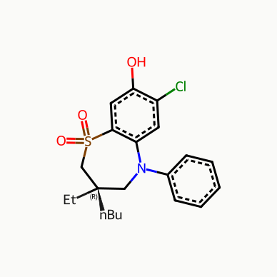 CCCC[C@]1(CC)CN(c2ccccc2)c2cc(Cl)c(O)cc2S(=O)(=O)C1